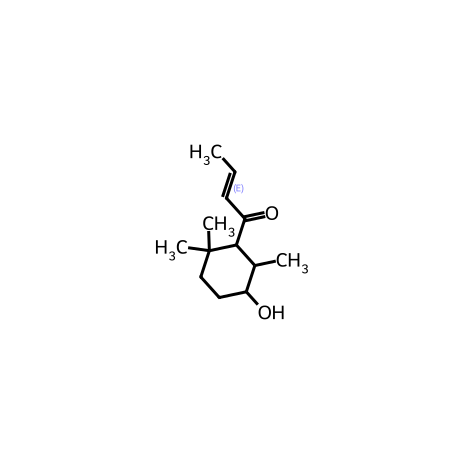 C/C=C/C(=O)C1C(C)C(O)CCC1(C)C